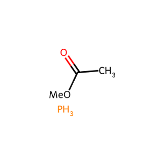 COC(C)=O.P